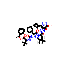 C[C@H](OC(=O)[C@@H](NC(=O)N[C@H](C(=O)N1C[C@H]2[C@@H]([C@H]1C(=O)NC(CC1CCC1)C(=O)C(N)=O)C2(C)C)C1CCCCC1)C(C)(C)C)c1ccccc1